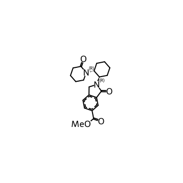 COC(=O)c1ccc2c(c1)C(=O)N([C@@H]1CCCC[C@H]1N1CCCCC1=O)C2